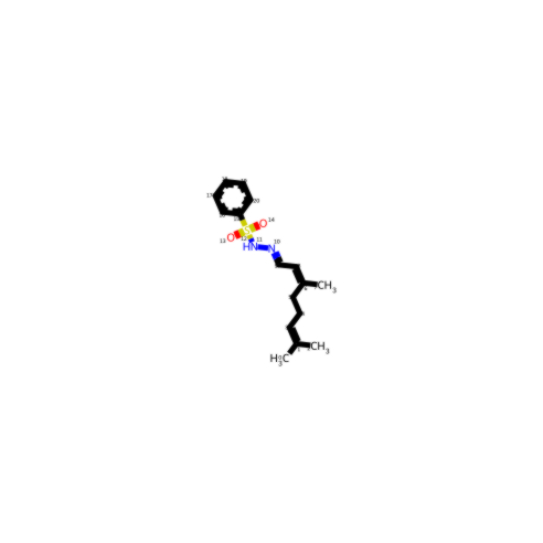 CC(C)=CCCC(C)=CC=NNS(=O)(=O)c1ccccc1